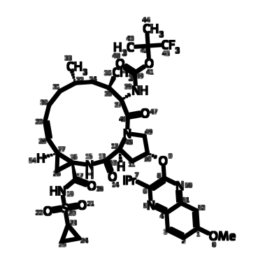 COc1ccc2nc(C(C)C)c(O[C@@H]3C[C@H]4C(=O)N[C@]5(C(=O)NS(=O)(=O)C6CC6)C[C@H]5/C=C\CC[C@H](C)C[C@@H](C)[C@H](NC(=O)OC(C)(C)C(F)(F)F)C(=O)N4C3)nc2c1